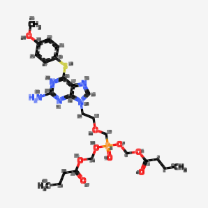 CCCC(=O)OCOP(=O)(COCCn1cnc2c(Sc3ccc(OC)cc3)nc(N)nc21)OCOC(=O)CCC